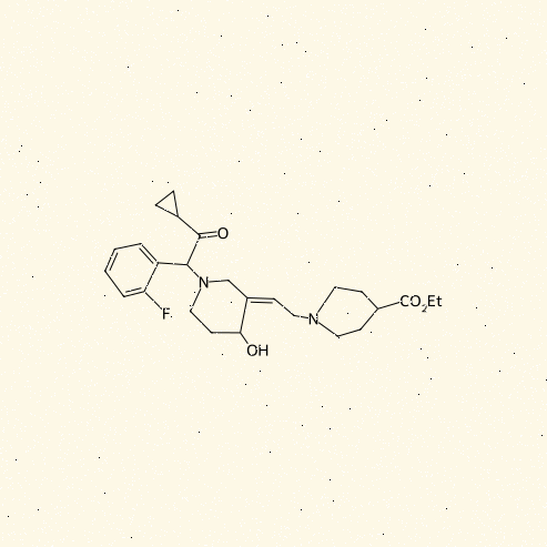 CCOC(=O)C1CCN(CC=C2CN(C(C(=O)C3CC3)c3ccccc3F)CCC2O)CC1